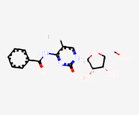 Cc1cn([C@@H]2O[C@H](CO)[C@@H](O)[C@H]2O)c(=O)nc1NC(=O)c1ccccc1